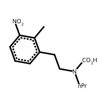 CCCN(CCc1cccc([N+](=O)[O-])c1C)C(=O)O